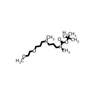 COCCOCCCN(C)CCCN(C)C(=O)OC(C)(C)C